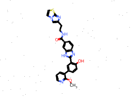 COc1ncccc1-c1ccc(O)c(-c2nc3ccc(C(=O)NCCc4cn5ccsc5n4)cc3[nH]2)c1